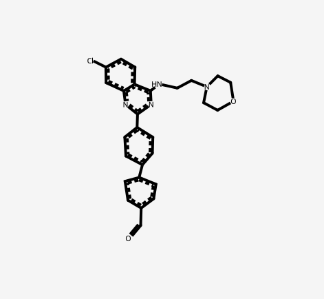 O=Cc1ccc(-c2ccc(-c3nc(NCCN4CCOCC4)c4ccc(Cl)cc4n3)cc2)cc1